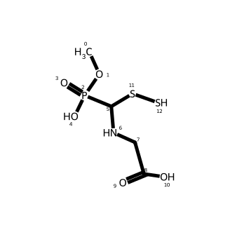 COP(=O)(O)C(NCC(=O)O)SS